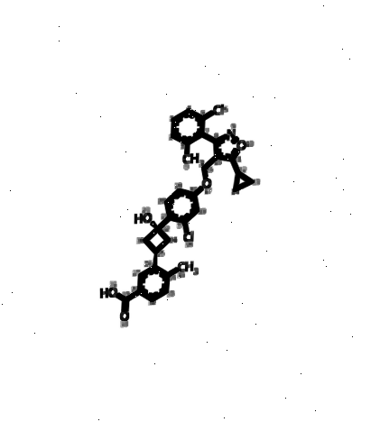 Cc1cccc(Cl)c1-c1noc(C2CC2)c1COc1ccc([C@]2(O)C[C@@H](c3cc(C(=O)O)ccc3C)C2)c(Cl)c1